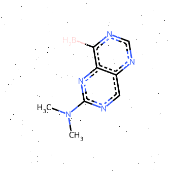 Bc1ncnc2cnc(N(C)C)nc12